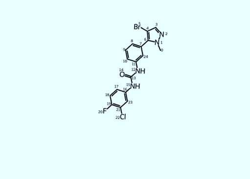 Cn1ncc(Br)c1-c1cccc(NC(=O)Nc2ccc(F)c(Cl)c2)c1